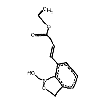 CCOC(=O)/C=C/c1cccc2c1B(O)OC2